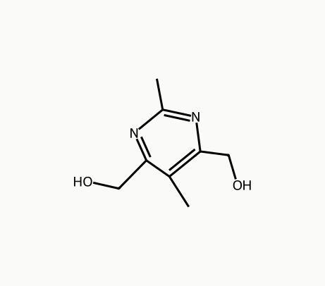 Cc1nc(CO)c(C)c(CO)n1